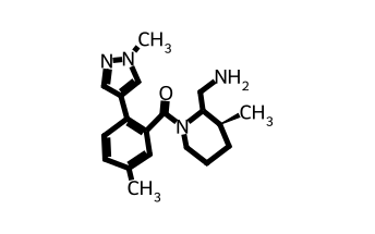 Cc1ccc(-c2cnn(C)c2)c(C(=O)N2CCC[C@H](C)C2CN)c1